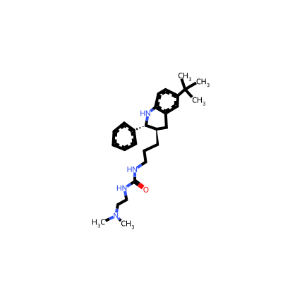 CN(C)CCNC(=O)NCCC[C@@H]1Cc2cc(C(C)(C)C)ccc2N[C@H]1c1ccccc1